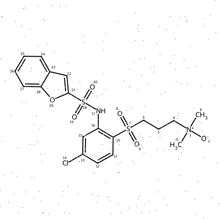 C[N+](C)([O-])CCCS(=O)(=O)c1ccc(Cl)cc1NS(=O)(=O)c1cc2ccccc2o1